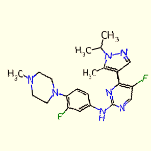 Cc1c(-c2nc(Nc3ccc(N4CCN(C)CC4)c(F)c3)ncc2F)cnn1C(C)C